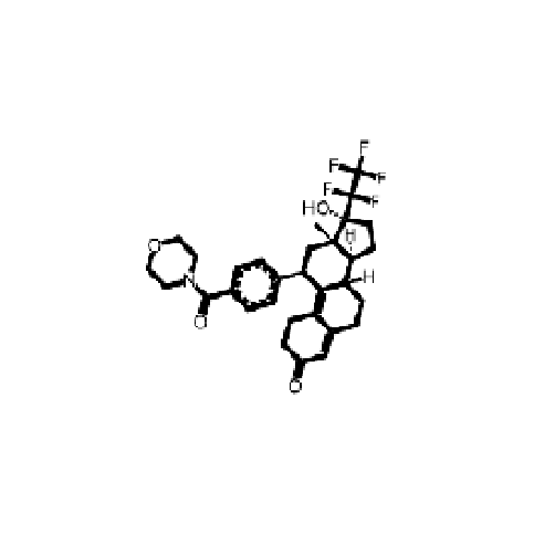 C[C@]12C[C@H](c3ccc(C(=O)N4CCOCC4)cc3)C3=C4CCC(=O)C=C4CC[C@H]3[C@@H]1CC[C@]2(O)C(F)(F)C(F)(F)F